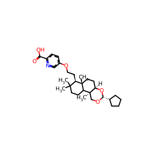 CC1(C)CCC2[C@]3(C)CO[C@@H](C4CCCC4)O[C@@H]3CC[C@@]2(C)[C@@H]1CCOc1ccc(C(=O)O)nc1